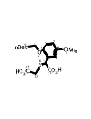 CCCCCCCCCCCOc1ccc(OC)cc1C(SCC(=O)O)C(=O)O